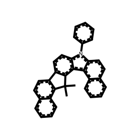 CC1(C)c2c(ccc3ccccc23)-c2ccc3c(c21)c1c2ccccc2ccc1n3-c1ccccc1